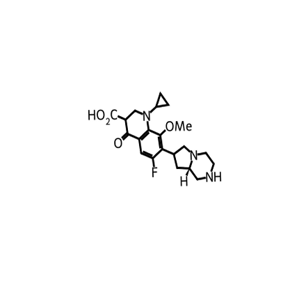 COc1c(C2C[C@H]3CNCCN3C2)c(F)cc2c1N(C1CC1)CC(C(=O)O)C2=O